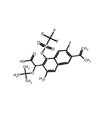 C=C(C)c1cc2cc(C)c(C(OC(C)(C)C)C(=O)O)c(OS(=O)(=O)C(F)(F)F)c2cc1F